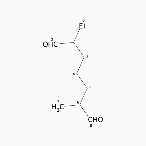 C[CH]C(C=O)CCCC(C)C=O